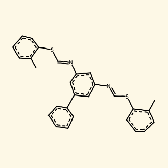 Cc1ccccc1S/C=N/c1cc(/N=C/Sc2ccccc2C)cc(-c2ccccc2)c1